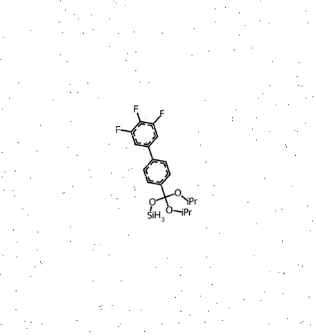 CC(C)OC(O[SiH3])(OC(C)C)c1ccc(-c2cc(F)c(F)c(F)c2)cc1